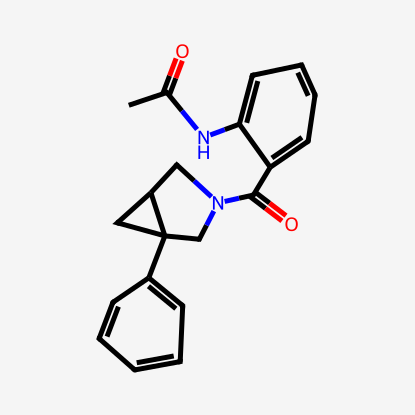 CC(=O)Nc1ccccc1C(=O)N1CC2CC2(c2ccccc2)C1